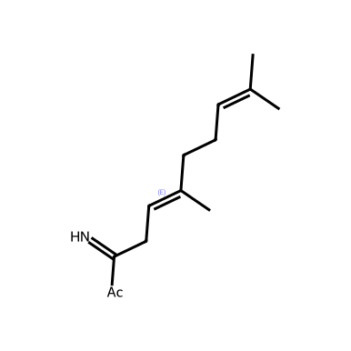 CC(=O)C(=N)C/C=C(\C)CCC=C(C)C